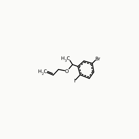 C=CCOC(C)c1cc(Br)ccc1I